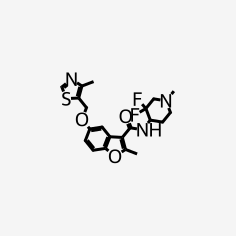 Cc1ncsc1COc1ccc2oc(C)c(C(=O)NC3CCN(C)CC3(F)F)c2c1